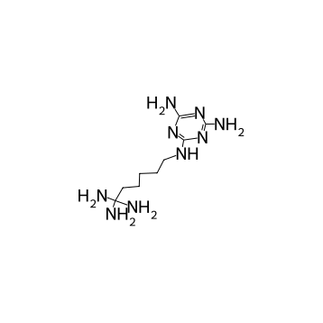 Nc1nc(N)nc(NCCCCCC(N)(N)N)n1